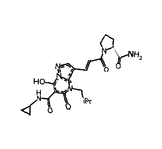 CC(C)Cn1c(=O)c(C(=O)NC2CC2)c(O)n2ncc(/C=C/C(=O)N3CCC[C@@H]3C(N)=O)c12